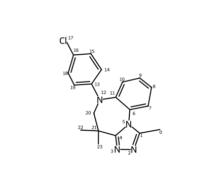 Cc1nnc2n1-c1ccccc1N(c1ccc(Cl)cc1)CC2(C)C